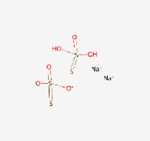 O=S(O)(O)=S.O=S([O-])([O-])=S.[Na+].[Na+]